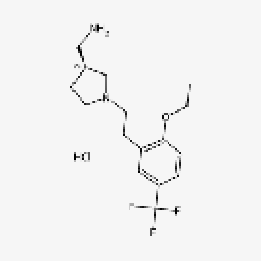 CCOc1ccc(C(F)(F)F)cc1CCN1CC[C@@H](CN)C1.Cl